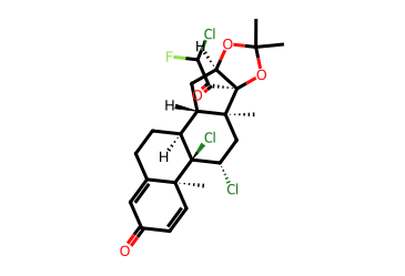 CC1(C)O[C@@H]2C[C@H]3[C@@H]4CCC5=CC(=O)C=C[C@]5(C)[C@@]4(Cl)[C@@H](Cl)C[C@]3(C)[C@]2(C(=O)C(F)Cl)O1